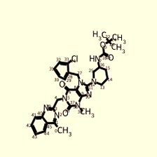 Cc1nc(Cn2c(=O)c3c(nc(N4CCCC(NC(=O)OC(C)(C)C)C4)n3Cc3ccccc3Cl)n(C)c2=O)nc2ccccc12